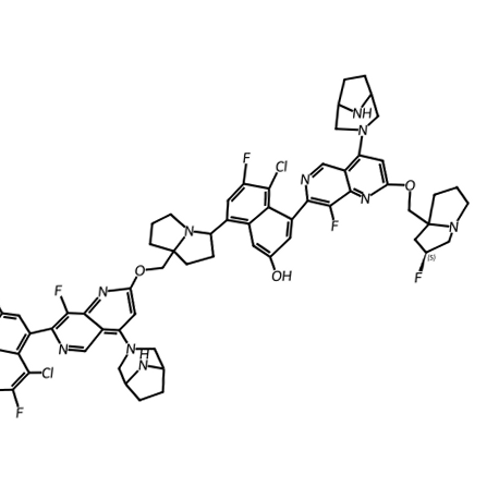 Oc1cc(-c2ncc3c(N4CC5CCC(C4)N5)cc(OCC45CCCN4C(c4cc(F)c(Cl)c6c(-c7ncc8c(N9CC%10CCC(C9)N%10)cc(OCC9%10CCCN9C[C@@H](F)C%10)nc8c7F)cc(O)cc46)CC5)nc3c2F)c2c(Cl)c(F)ccc2c1